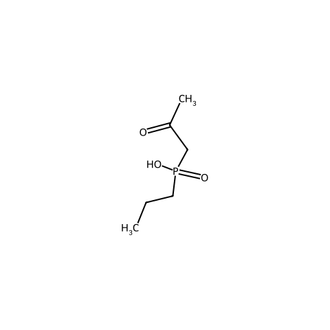 CCCP(=O)(O)CC(C)=O